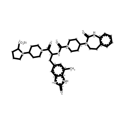 CCOC(=O)C1CCCN1C1CCN(C(=O)C(Cc2cc(C)c3[nH]c(=O)oc3c2)OC(=O)N2CCC(N3CCc4ccccc4NC3=O)CC2)CC1